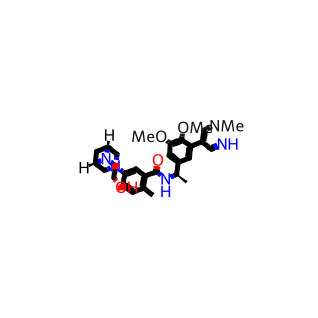 CN/C=C(\C=N)c1cc([C@@H](C)NC(=O)c2cc(N3C[C@H]4C[C@@H](C3)N4CCO)ccc2C)cc(OC)c1OC